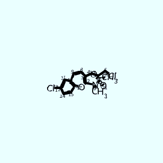 CN(C1=C(CCCCl)C=Cc2cc(Cl)ccc2O1)S(C)(=O)=O